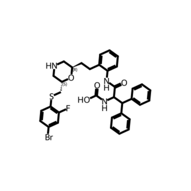 O=C(O)NC(C(=O)Nc1ccccc1CC[C@@H]1CNC[C@@H](CSc2ccc(Br)cc2F)O1)C(c1ccccc1)c1ccccc1